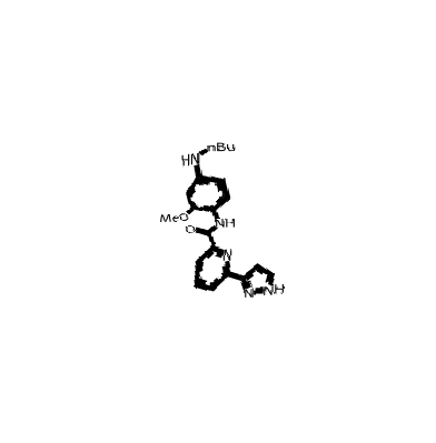 CCCCNc1ccc(NC(=O)c2cccc(-c3cc[nH]n3)n2)c(OC)c1